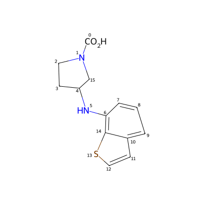 O=C(O)N1CCC(Nc2cccc3ccsc23)C1